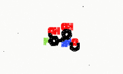 OCc1cc(-c2nn(C3CCCCO3)c3ccc(O)cc23)ccc1F